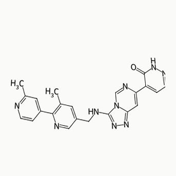 Cc1cc(-c2ncc(CNc3nnc4cc(-c5ccn[nH]c5=O)ncn34)cc2C)ccn1